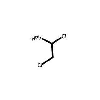 ClC[CH](Cl)[PbH]